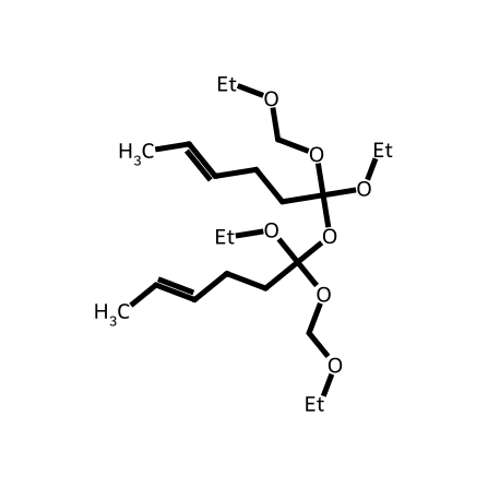 CC=CCCC(OCC)(OCOCC)OC(CCC=CC)(OCC)OCOCC